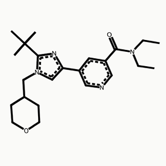 CCN(CC)C(=O)c1cncc(-c2cn(CC3CCOCC3)c(C(C)(C)C)n2)c1